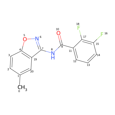 Cc1ccc2onc(NC(=O)c3cccc(F)c3F)c2c1